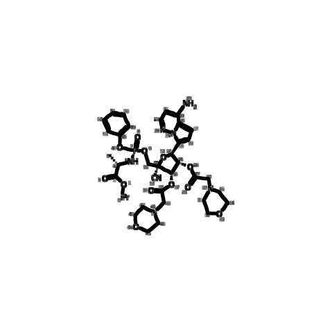 CC(C)OC(=O)[C@H](C)N[P@](=O)(OC[C@@]1(C#N)O[C@@H](c2ccc3c(N)ccnn23)[C@H](OC(=O)CN2CCOCC2)[C@@H]1OC(=O)CN1CCOCC1)Oc1ccccc1